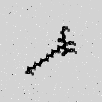 CCCCCCCCCCCCN(C(C)=O)[C@@H](C)C(=O)OCC